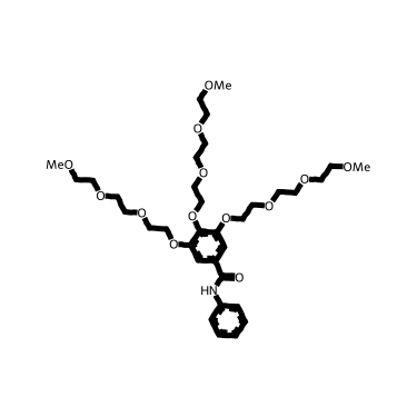 COCCOCCOCCOc1cc(C(=O)Nc2ccccc2)cc(OCCOCCOCCOC)c1OCCOCCOCCOC